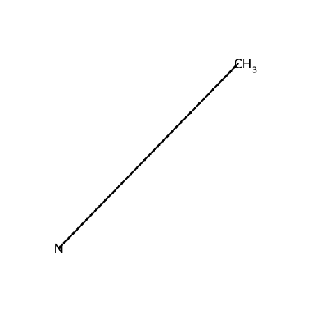 CC#CC#CC#CC#CC#CC#CC#CC#CC#CC#CC#CC#CC#CC#CC#CC#CC#CC#CC#CC#CC#CC#CC#CC#CC#CC#CC#CC#CC#CC#CC#CC#CC#CC#CC#CC#CC#CC#CC#CC#N